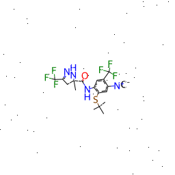 [C-]#[N+]c1cc(SC(C)(C)C)c(NC(=O)C2(C)CC(C(F)(F)F)=NN2)cc1C(F)(F)F